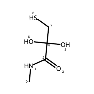 CNC(=O)C(O)(O)CS